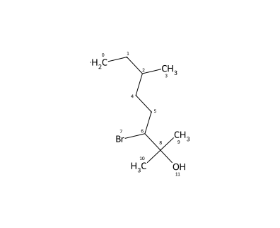 [CH2]CC(C)CCC(Br)C(C)(C)O